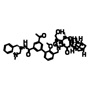 COc1c(CN2O[C@@H](CO)[C@@H]([C@H](C)O)[C@H]2C(=O)N[C@H]2C[C@H]3C[C@@H]([C@@H]2C)C3(C)C)cccc1-c1cc(C(C)=O)cc(C(=O)N[C@@H](Cc2ccccc2)CN(C)C)c1